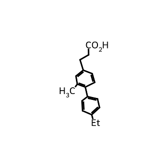 CCc1ccc(-c2ccc(CCC(=O)O)cc2C)cc1